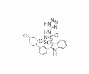 NS(=O)(=O)c1c(-c2[nH]c3ccccc3c2CC(=O)Nc2nnn[nH]2)cccc1C1CCC(Cl)CC1